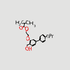 C=C(C)C(=O)OCCOc1cc(-c2ccc(CCC)cc2)ccc1CO